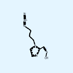 [N-]=[N+]=NCCCn1ccnc1/C=N\O